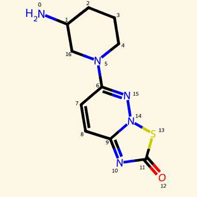 NC1CCCN(c2ccc3nc(=O)sn3n2)C1